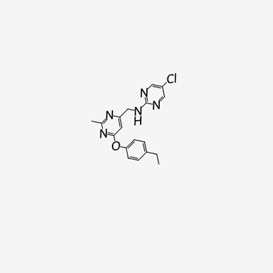 CCc1ccc(Oc2cc(CNc3ncc(Cl)cn3)nc(C)n2)cc1